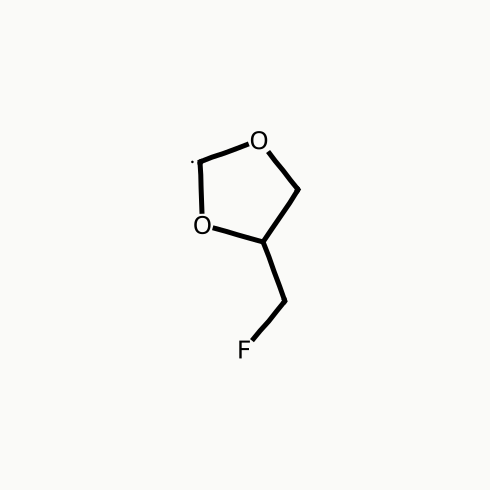 FCC1CO[CH]O1